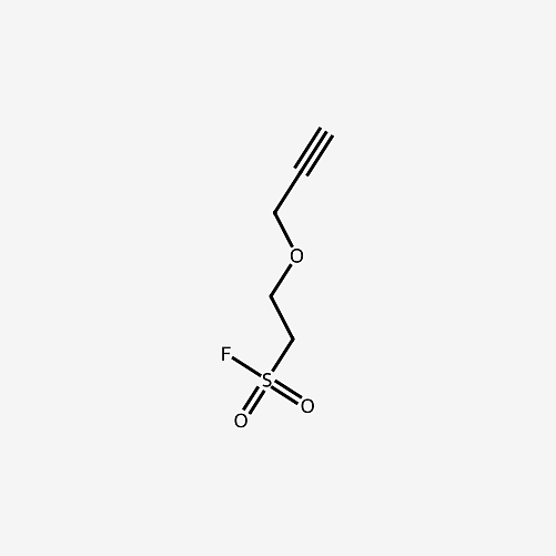 C#CCOCCS(=O)(=O)F